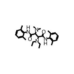 CCN(CC)C(C(=O)Nc1c(C)cccc1C)C(C(=O)Nc1c(C)cccc1C)N(C)C